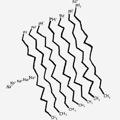 CCCCCCCCCCCCP.CCCCCCCCCCCC[PH-].CCCCCCCCCCCC[PH-].CCCCCCCCCCCC[PH-].CCCCCCCCCCCC[PH-].CCCCCCCCCCCC[PH-].CCCCCCCCCCCC[PH-].[Na+].[Na+].[Na+].[Na+].[Na+].[Na+]